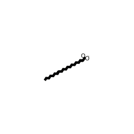 CCCCCCC=CCCCCCCCCCC=CC(=O)OC